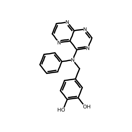 Oc1ccc(CN(c2ccccc2)c2ncnc3nccnc23)cc1O